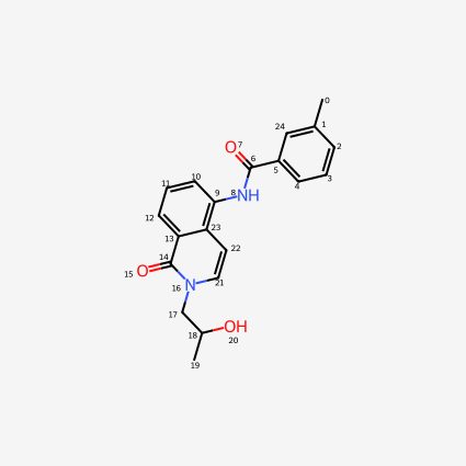 Cc1cccc(C(=O)Nc2cccc3c(=O)n(CC(C)O)ccc23)c1